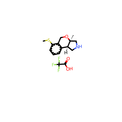 CSc1cccc2c1CO[C@@]1(C)CNC[C@@H]21.O=C(O)C(F)(F)F